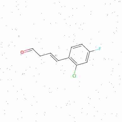 O=CC/C=C/c1ccc(F)cc1Cl